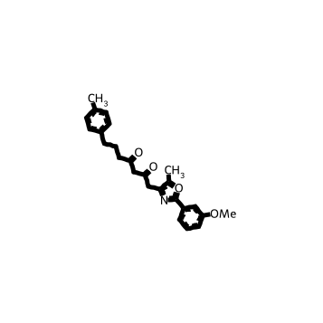 COc1cccc(-c2nc(CC(=O)CC(=O)CCCc3ccc(C)cc3)c(C)o2)c1